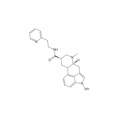 CCCn1cc2c3c(cccc31)C1C[C@@H](C(=O)NCCc3ccccn3)CN(C)[C@@H]1C2